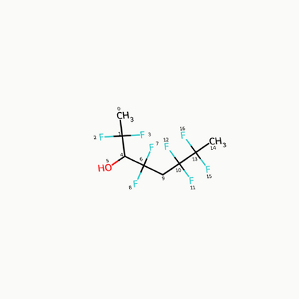 CC(F)(F)C(O)C(F)(F)CC(F)(F)C(C)(F)F